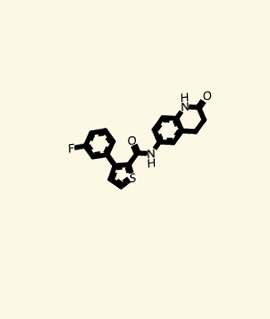 O=C1CCc2cc(NC(=O)c3sccc3-c3cccc(F)c3)ccc2N1